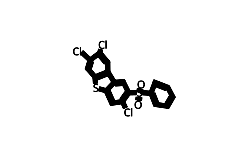 O=S(=O)(c1ccccc1)c1cc2c(cc1Cl)sc1cc(Cl)c(Cl)cc12